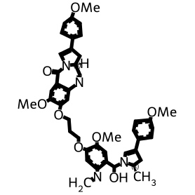 C=Nc1cc(OCCCOc2cc3c(cc2OC)C(=O)N2C=C(c4ccc(OC)cc4)C[C@H]2C=N3)c(OC)cc1C(O)N1C=C(c2ccc(OC)cc2)C[C@H]1C